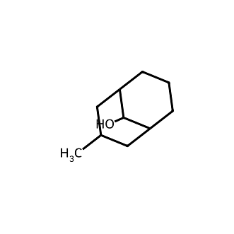 CC1CC2CCCC(C1)C2O